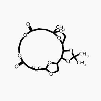 CC1(C)OC2C3COC(C)(CCC(=O)OCCOC(=O)CCC4(C)OCC(O4)C2O1)O3